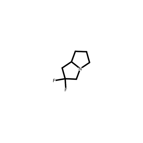 FC1(F)CC2CCCN2C1